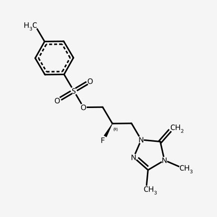 C=C1N(C[C@@H](F)COS(=O)(=O)c2ccc(C)cc2)N=C(C)N1C